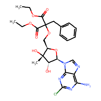 CCOC(=O)C(Cc1ccccc1)(OC[C@H]1O[C@@H](n2cnc3c(N)nc(Cl)nc32)[C@H](O)[C@]1(C)O)C(=O)OCC